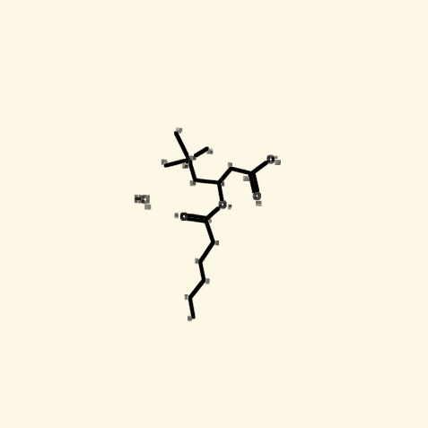 CCCCCC(=O)OC(CC(=O)[O-])C[N+](C)(C)C.Cl